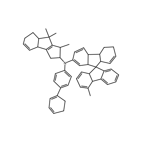 CC1=CC=CC2C1c1ccccc1C21C2C=C(N(c3ccc(C4=CC=CCC4)cc3)C3CC4=C(C3C)C(C)(C)C3CCC=CC43)C=CC2C2CCC=CC21